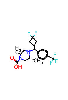 C[C@@H]1CN(C(=O)O)[C@@H](C)CN1C(c1ccc(C(F)(F)F)cc1)C1CC(F)(F)C1